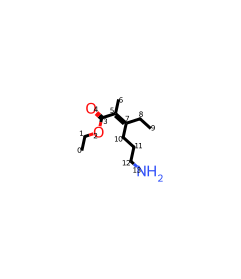 CCOC(=O)C(C)=C(CC)CCCN